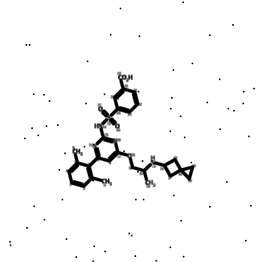 Cc1cccc(C)c1-c1cc(OCC(C)NC2CC3(CC3)C2)nc(NS(=O)(=O)c2cccc(C(=O)O)c2)n1